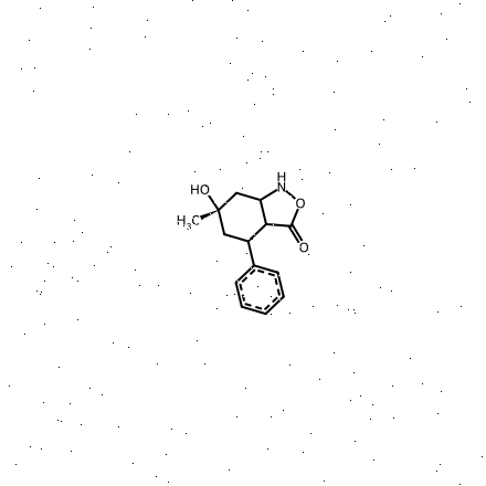 C[C@@]1(O)CC2NOC(=O)C2C(c2ccccc2)C1